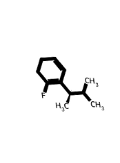 CC(C)[C@@H](C)C1=C(F)CCC=C1